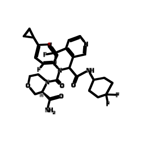 NC(=O)[C@H]1COCCN1C(=O)N(c1ccc(C2CC2)cc1F)C(C(=O)NC1CCC(F)(F)CC1)c1cnccc1C(F)(F)F